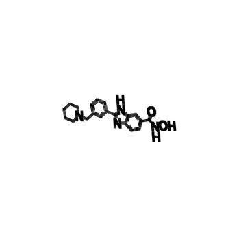 O=C(NO)c1ccc2nc(-c3cccc(CN4CCCCC4)c3)[nH]c2c1